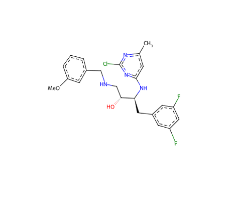 COc1cccc(CNC[C@@H](O)[C@H](Cc2cc(F)cc(F)c2)Nc2cc(C)nc(Cl)n2)c1